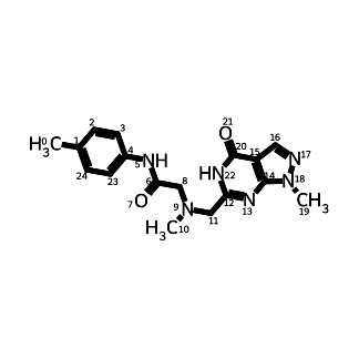 Cc1ccc(NC(=O)CN(C)Cc2nc3c(cnn3C)c(=O)[nH]2)cc1